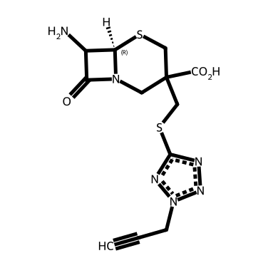 C#CCn1nnc(SCC2(C(=O)O)CS[C@@H]3C(N)C(=O)N3C2)n1